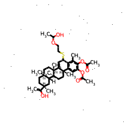 C=C(O)[C@]1(C)CC[C@]2(C)CC[C@]3(C)C4=CC(SCCOC(C)O)c5c(cc(OC(C)=O)c(OC(C)=O)c5C)[C@]4(C)CC[C@@]3(C)[C@@H]2C1